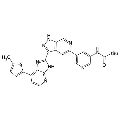 Cc1ccc(-c2ccnc3[nH]c(-c4n[nH]c5cnc(-c6cncc(NC(=O)C(C)(C)C)c6)cc45)nc23)s1